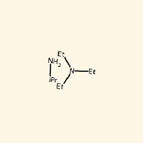 CC(C)N.CCN(CC)CC